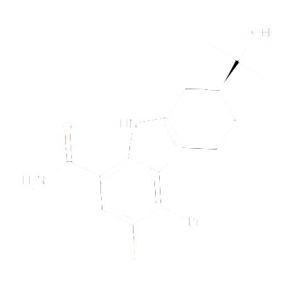 CC(C)(O)[C@H]1CCc2c([nH]c3c(C(N)=O)cc(F)c(Br)c23)C1